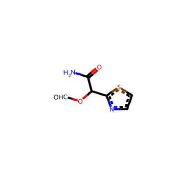 NC(=O)C(O[C]=O)c1nccs1